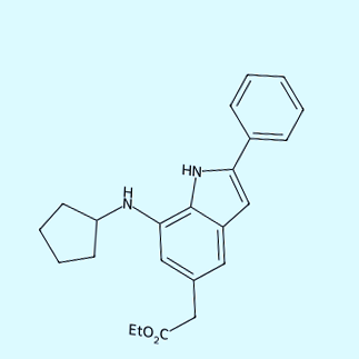 CCOC(=O)Cc1cc(NC2CCCC2)c2[nH]c(-c3ccccc3)cc2c1